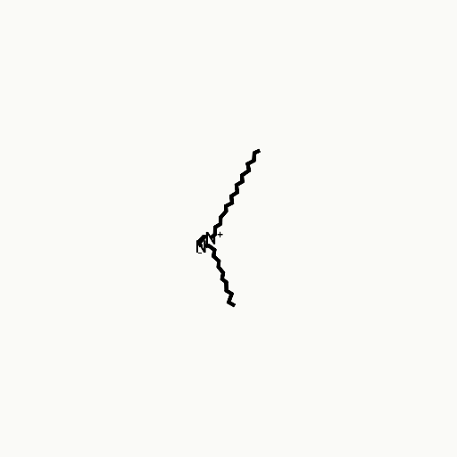 CCCCCCCCCCCCCCCCC[n+]1ccn(C)c1CCCCCCCCCCC